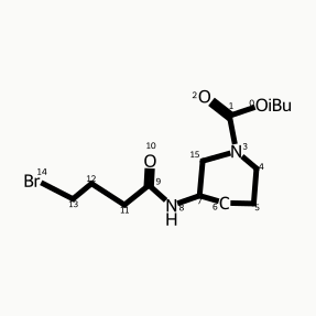 CC(C)COC(=O)N1CCCC(NC(=O)CCCBr)C1